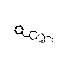 OC(CCl)CN1CCC(Cc2ccccc2)CC1